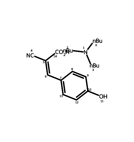 CCCCN(CCCC)CCCC.N#CC(=Cc1ccc(O)cc1)C(=O)O